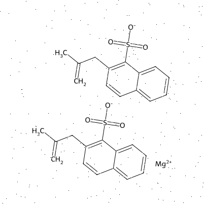 C=C(C)Cc1ccc2ccccc2c1S(=O)(=O)[O-].C=C(C)Cc1ccc2ccccc2c1S(=O)(=O)[O-].[Mg+2]